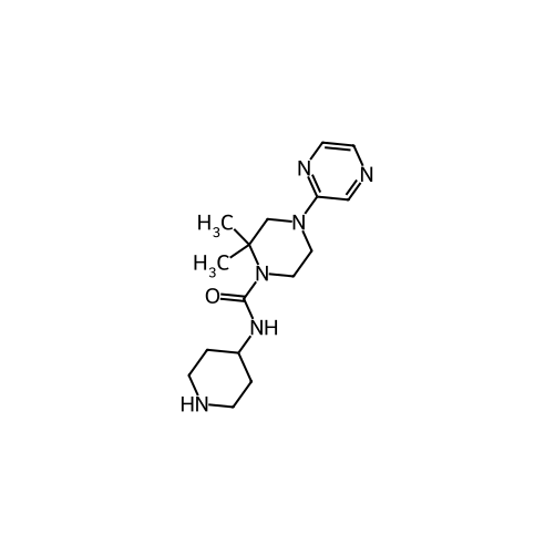 CC1(C)CN(c2cnccn2)CCN1C(=O)NC1CCNCC1